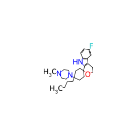 CCCCC1(N2CCN(C)CC2)CCC2(CC1)OCCc1c2[nH]c2ccc(F)cc12